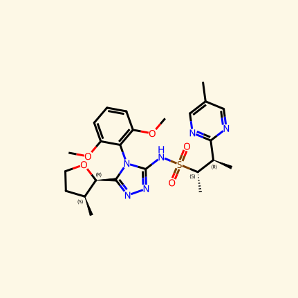 COc1cccc(OC)c1-n1c(NS(=O)(=O)[C@@H](C)[C@H](C)c2ncc(C)cn2)nnc1[C@@H]1OCC[C@@H]1C